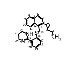 CCCOc1ccc2ccccc2c1CSc1ccccc1C1=NCCCN1